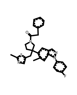 Cc1ncc(CC2(c3cc4cnn(-c5ccc(F)cc5)c4cc3C)CCN(C(=O)Cc3ccccc3)C2)s1